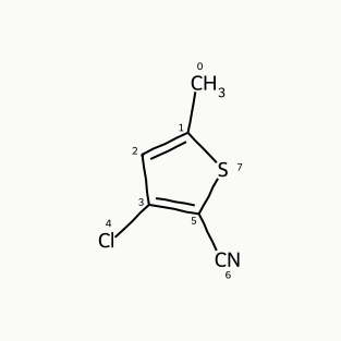 Cc1cc(Cl)c(C#N)s1